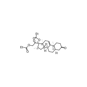 CCC(=O)OCC(=O)[C@]1(OC(=O)CC)[C@@H](C)C[C@H]2[C@@H]3CC[C@@H]4CC(=O)CC[C@]4(C)C3=CC[C@@]21C